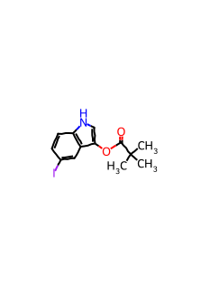 CC(C)(C)C(=O)Oc1c[nH]c2ccc(I)cc12